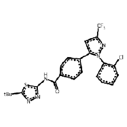 CC(C)(C)c1nnc(NC(=O)c2ccc(-c3cc(C(F)(F)F)nn3-c3ccccc3Cl)cc2)s1